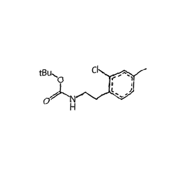 Cc1ccc(CCNC(=O)OC(C)(C)C)c(Cl)c1